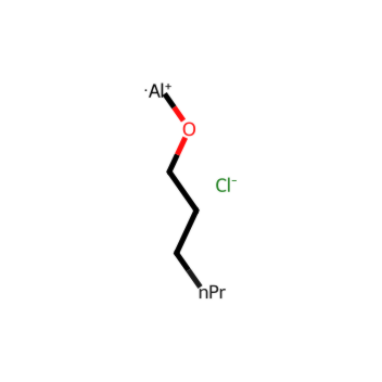 CCCCCC[O][Al+].[Cl-]